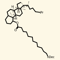 CCCCCCCCCCCCCCCCCCCCCC(=O)OC1CCCC2CC[C@@H]3[C@H](CC[C@]4(C)[C@@H]([C@H](C)CCCC(C)C)CC[C@@H]34)[C@]21C